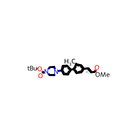 COC(=O)/C=C/c1ccc(-c2ccc(N3CCN(C(=O)OC(C)(C)C)CC3)cc2)c(C)c1